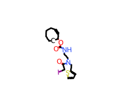 O=C(NCCN(Cc1cccs1)C(=O)CI)OC1C#CCCCCC1